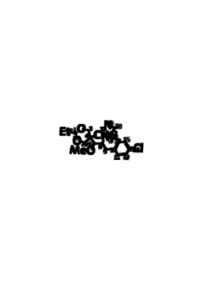 CCC1OCC(C)(C(OC)C(Cc2ccc(Cl)cc2)n2cncn2)CO1